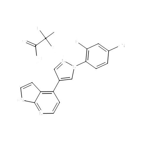 N#Cc1ccc(-n2cc(-c3ccnc4[nH]ccc34)cn2)c(F)c1.O=C(O)C(F)(F)F